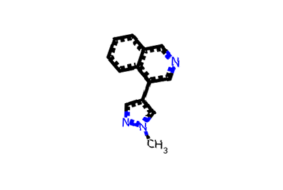 Cn1cc(-c2cncc3ccccc23)cn1